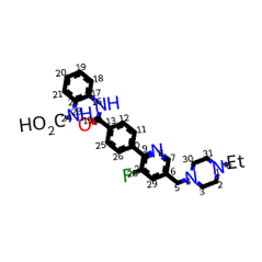 CCN1CCN(Cc2cnc(-c3ccc(C(=O)Nc4ccccc4NC(=O)O)cc3)c(F)c2)CC1